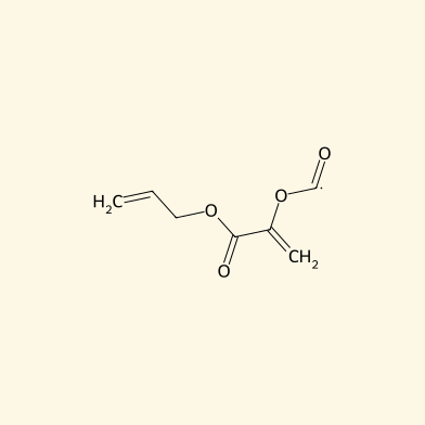 C=CCOC(=O)C(=C)O[C]=O